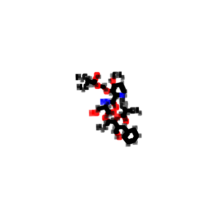 COc1ccnc(C(=O)NC(CO)C(=O)OC(C)C(OC(=O)C(C)C)C(C=O)Cc2ccccc2)c1OCOC(=O)C(C)C